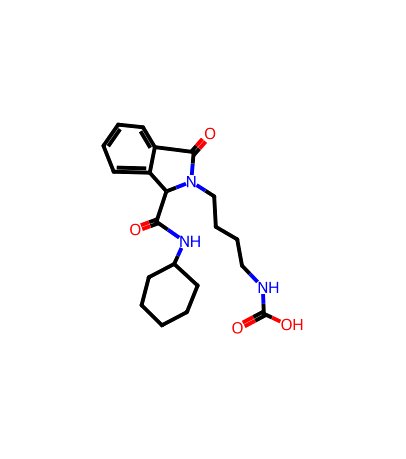 O=C(O)NCCCCN1C(=O)c2ccccc2C1C(=O)NC1CCCCC1